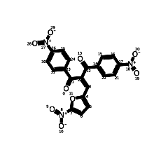 O=C(C(=Cc1ccc([N+](=O)[O-])o1)C(=O)c1ccc([N+](=O)[O-])cc1)c1ccc([N+](=O)[O-])cc1